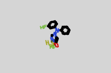 F.F.O=[SH2].c1ccc(N(c2ccccc2)n2ccnc2)cc1